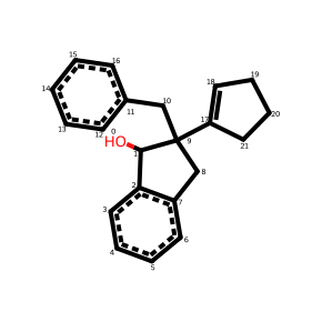 OC1c2ccccc2CC1(Cc1ccccc1)C1=CCCC1